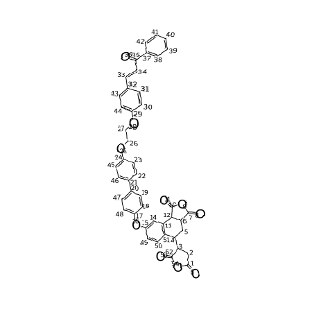 O=C1CC(C2CC3C(=O)OC(=O)C3c3cc(Oc4ccc(-c5ccc(OCCOc6ccc(/C=C/C(=O)c7ccccc7)cc6)cc5)cc4)ccc32)C(=O)O1